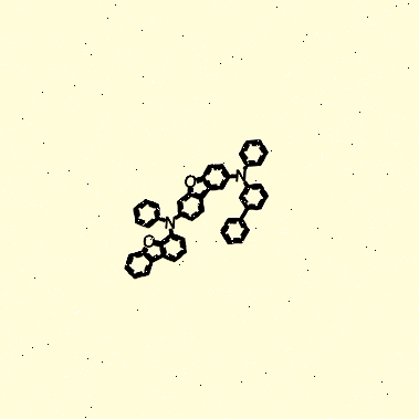 c1ccc(-c2cccc(N(c3ccccc3)c3ccc4oc5cc(N(c6ccccc6)c6cccc7c6oc6ccccc67)ccc5c4c3)c2)cc1